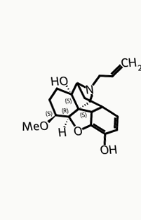 C=CCN1CC[C@@]23C4C5=C(O)C=CC4CC1[C@]2(O)CC[C@H](OC)[C@@H]3O5